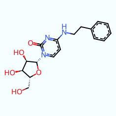 O=c1nc(NCCc2ccccc2)ccn1[C@@H]1O[C@H](CO)[C@@H](O)[C@H]1O